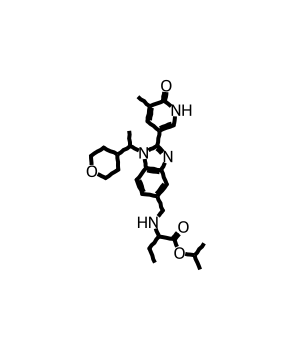 CCC(NCc1ccc2c(c1)nc(-c1c[nH]c(=O)c(C)c1)n2C(C)C1CCOCC1)C(=O)OC(C)C